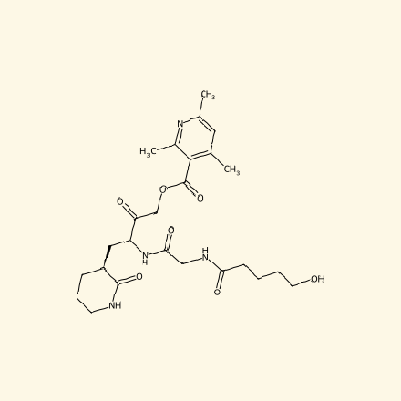 Cc1cc(C)c(C(=O)OCC(=O)C(C[C@@H]2CCCNC2=O)NC(=O)CNC(=O)CCCCO)c(C)n1